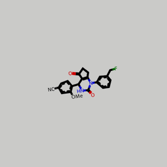 COc1cc(C#N)ccc1C1NC(=O)N(c2cccc(CF)c2)C2=C1C(=O)CC2